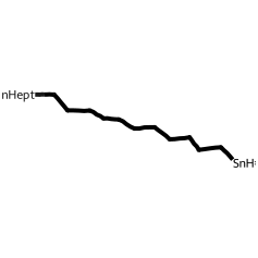 CCCCCCCCCCCCCCCCC[CH2][SnH]